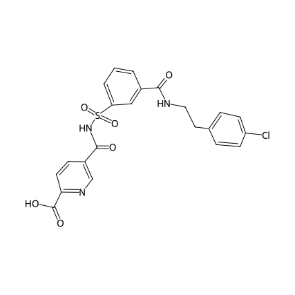 O=C(NCCc1ccc(Cl)cc1)c1cccc(S(=O)(=O)NC(=O)c2ccc(C(=O)O)nc2)c1